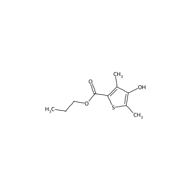 CCCOC(=O)c1sc(C)c(O)c1C